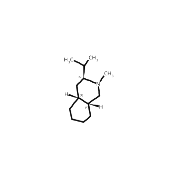 CC(C)[C@@H]1C[C@H]2CCCC[C@H]2CN1C